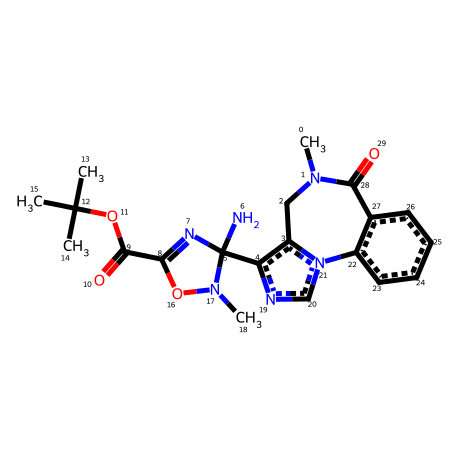 CN1Cc2c(C3(N)N=C(C(=O)OC(C)(C)C)ON3C)ncn2-c2ccccc2C1=O